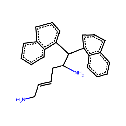 NCC=CCC(N)C(c1cccc2ccccc12)c1cccc2ccccc12